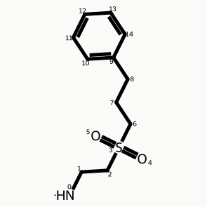 [NH]CCS(=O)(=O)CCCc1ccccc1